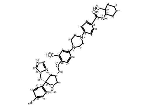 Cc1cc(N2CCN(c3ccc(C(=O)NC4CCCCC4O)cc3)CC2)ccc1OC[C@@H]1CO[C@@](Cn2cncn2)(c2ccc(F)cc2F)C1